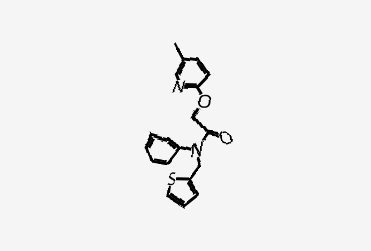 Cc1ccc(OCC(=O)N(Cc2cccs2)c2ccccc2)nc1